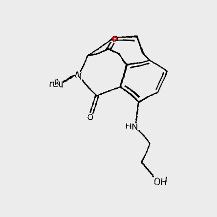 CCCCN1C(=O)c2c(NCCO)ccc3c2C(=O)C1C=C3